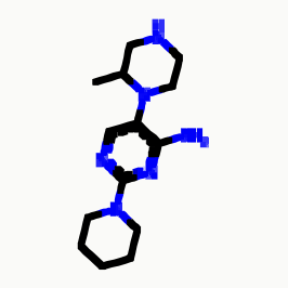 CC1CNCCN1c1cnc(N2CCCCC2)nc1N